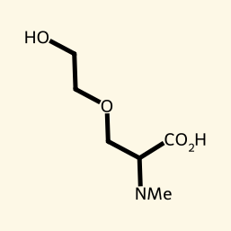 CNC(COCCO)C(=O)O